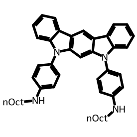 CCCCCCCCNc1ccc(-n2c3ccccc3c3cc4c5ccccc5n(-c5ccc(NCCCCCCCC)cc5)c4cc32)cc1